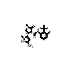 CN1C[C@H](C2=CC(C(F)(F)F)NN2C)[C@@H](C(=O)Nc2cccc(F)c2C(C)(F)F)C1=S